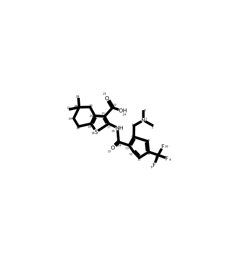 CN(C)Cc1cc(C(F)(F)F)ccc1C(=O)Nc1sc2c(c1C(=O)O)CC(C)(C)CC2